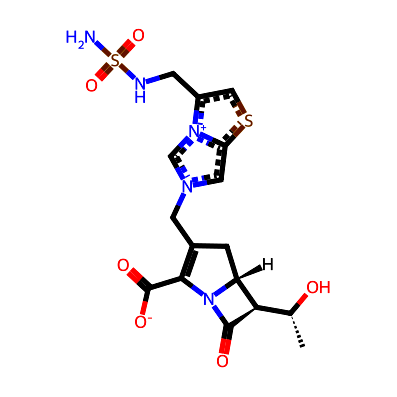 C[C@@H](O)[C@H]1C(=O)N2C(C(=O)[O-])=C(Cn3cc4scc(CNS(N)(=O)=O)[n+]4c3)C[C@H]12